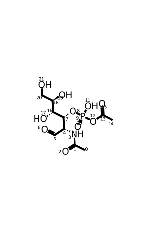 CC(=O)N[C@H](C=O)[C@@H](OP(=O)(O)OC(C)=O)[C@H](O)[C@H](O)CO